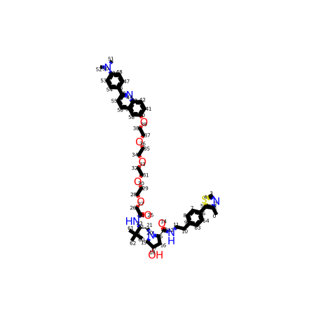 Cc1ncsc1-c1ccc(CCNC(=O)[C@@H]2C[C@H](O)CN2C[C@@H](NC(=O)COCCOCCOCCOCCOc2ccc3nc(-c4ccc(N(C)C)cc4)ccc3c2)C(C)(C)C)cc1